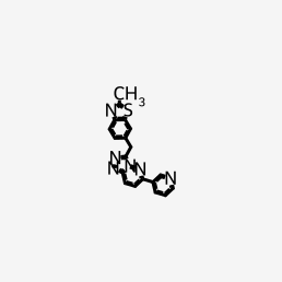 Cc1nc2ccc(Cc3nnc4ccc(-c5cccnc5)nn34)cc2s1